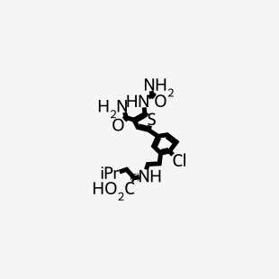 CC(C)C[C@H](NCCc1cc(-c2cc(C(N)=O)c(NC(N)=O)s2)ccc1Cl)C(=O)O